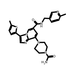 Cc1ccc(CNC(=O)c2cc(N3CCN(C(N)=O)CC3)c3ncc(-c4ccc(C)s4)n3c2)cn1